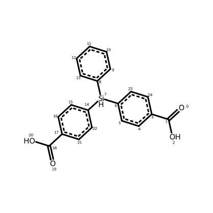 O=C(O)c1ccc([SiH](c2ccccc2)c2ccc(C(=O)O)cc2)cc1